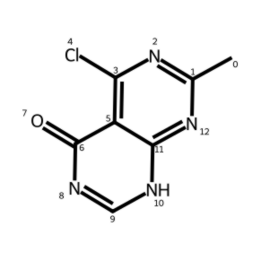 Cc1nc(Cl)c2c(=O)nc[nH]c2n1